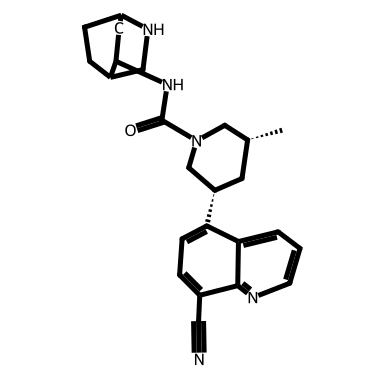 C[C@@H]1C[C@H](c2ccc(C#N)c3ncccc23)CN(C(=O)NC2CC3CCC2CN3)C1